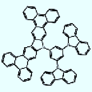 c1ccc2c(c1)c1ccccc1c1cc3c(cc21)c1cc2c4ccccc4c4ccccc4c2cc1n3-c1cc(-n2c3ccccc3c3ccccc32)cc(-n2c3ccccc3c3ccccc32)c1